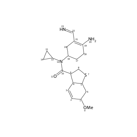 COC1C=CC2C(C1)SCC2C(=O)N(C1CC1)C1CCC(N)=C(C=N)C1